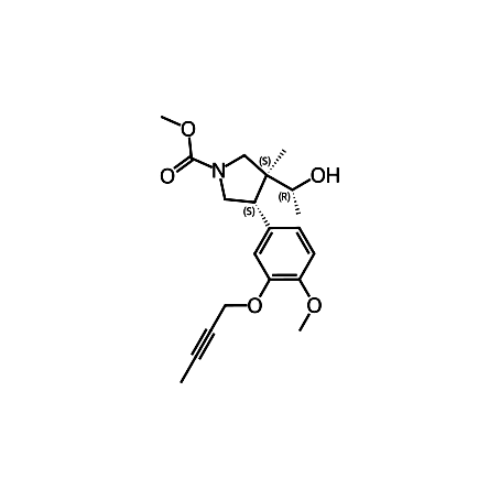 CC#CCOc1cc([C@@H]2CN(C(=O)OC)C[C@@]2(C)[C@@H](C)O)ccc1OC